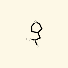 [CH2]N(CC)CC1CCOCC1